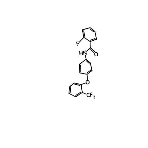 O=C(Nc1ccc(Oc2ccccc2C(F)(F)F)cc1)c1ccccc1F